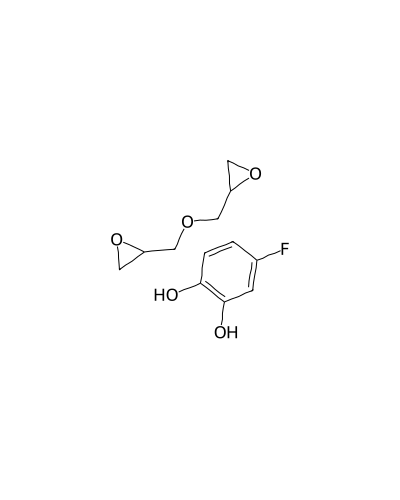 C(OCC1CO1)C1CO1.Oc1ccc(F)cc1O